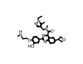 CCn1ncc(CN(C)C(=O)c2nc(-c3ccc(OCCNC)c(O)c3)nc3ccc(C4COC4)cc23)c1C